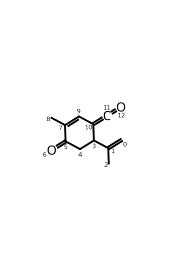 C=C(C)C1CC(=O)C(C)=CC1=C=O